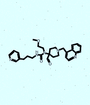 COCCN(C(=O)NCCCc1cccnc1)C1(C=O)CCN(Cc2ccnc3ccccc23)CC1